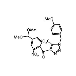 COc1ccc(Cn2nnc(C(=O)c3ccc(C(OC)OC)cc3[N+](=O)[O-])c2C(=O)O)cc1